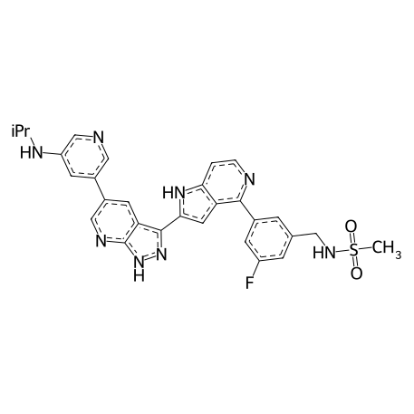 CC(C)Nc1cncc(-c2cnc3[nH]nc(-c4cc5c(-c6cc(F)cc(CNS(C)(=O)=O)c6)nccc5[nH]4)c3c2)c1